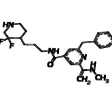 C=C(NC)c1cc(C(=O)NCCCC2CCNCC2(F)F)cc(Cc2ccccc2)n1